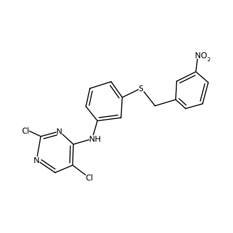 O=[N+]([O-])c1cccc(CSc2cccc(Nc3nc(Cl)ncc3Cl)c2)c1